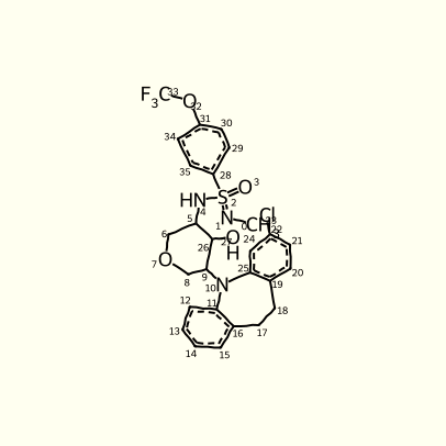 CN=S(=O)(NC1COCC(N2c3ccccc3CCc3ccc(Cl)cc32)C1O)c1ccc(OC(F)(F)F)cc1